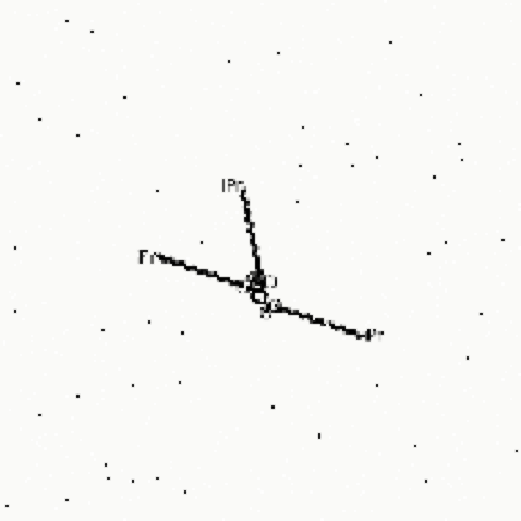 CC(C)CCCCCCCCCCCCCCCOC(=O)C1CCC(C(=O)OCCCCCCCCCCCCCCCC(C)C)C(C(=O)OCCCCCCCCCCCCCCCC(C)C)C1